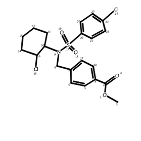 COC(=O)c1ccc(CN(C2CCCCC2Cl)S(=O)(=O)c2ccc(Cl)cc2)cc1